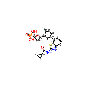 O=C(Nc1nc2cccc(-c3ccc(F)c(-c4ccc(P(=O)(O)O)o4)c3)c2s1)C1CC1